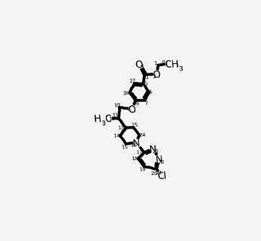 CCOC(=O)c1ccc(OCC(C)C2CCN(c3ccc(Cl)nn3)CC2)cc1